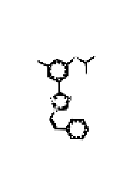 Cc1cc(OC(C)C)cc(-c2ncn(/C=C\c3ccccc3)n2)c1